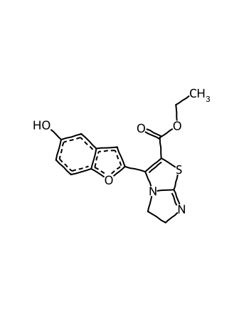 CCOC(=O)C1=C(c2cc3cc(O)ccc3o2)N2CCN=C2S1